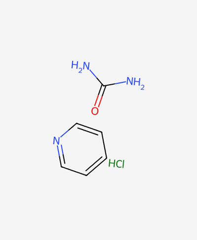 Cl.NC(N)=O.c1ccncc1